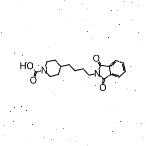 O=C(O)N1CCC(CCCCN2C(=O)c3ccccc3C2=O)CC1